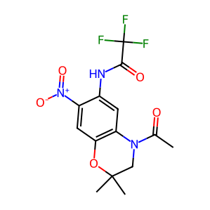 CC(=O)N1CC(C)(C)Oc2cc([N+](=O)[O-])c(NC(=O)C(F)(F)F)cc21